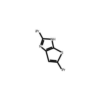 CC(C)c1nc2cc(C(C)C)sc2[nH]1